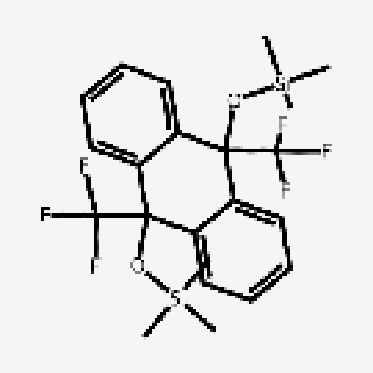 C[Si](C)(C)OC1(C(F)(F)F)c2ccccc2C(O[Si](C)(C)C)(C(F)(F)F)c2ccccc21